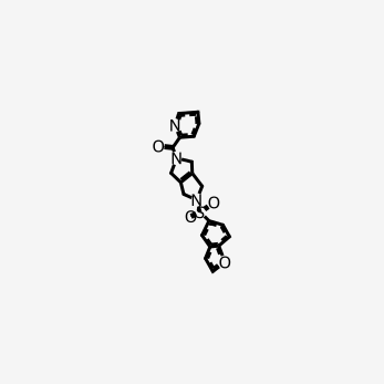 O=C(c1ccccn1)N1CC2=C(C1)CN(S(=O)(=O)c1ccc3occc3c1)C2